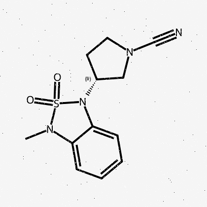 CN1c2ccccc2N([C@@H]2CCN(C#N)C2)S1(=O)=O